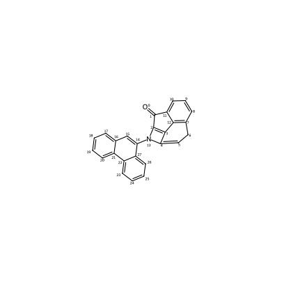 O=C1C2=C3C(=CCc4cccc1c43)N2c1cc2ccccc2c2ccccc12